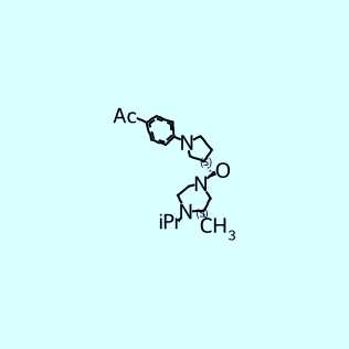 CC(=O)c1ccc(N2CC[C@H](C(=O)N3CCN(C(C)C)[C@@H](C)C3)C2)cc1